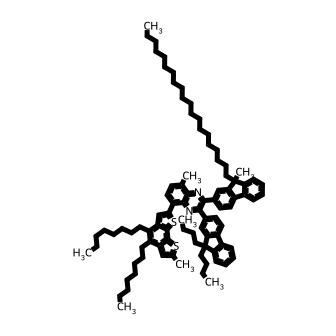 CCCCCCCCCCCCCCCCCCCCC1(C)c2ccccc2-c2ccc(-c3nc4c(C)ccc(-c5cc6c(CCCCCCCC)c(CCCCCCCC)c7cc(C)sc7c6s5)c4nc3-c3ccc4c(c3)C(CCCC)(CCCC)c3ccccc3-4)cc21